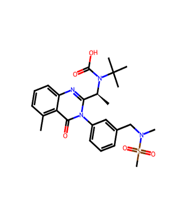 Cc1cccc2nc([C@H](C)N(C(=O)O)C(C)(C)C)n(-c3cccc(CN(C)S(C)(=O)=O)c3)c(=O)c12